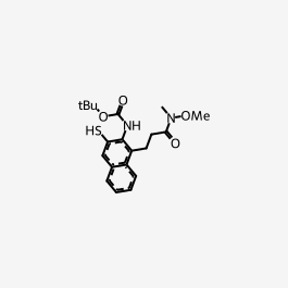 CON(C)C(=O)CCc1c(NC(=O)OC(C)(C)C)c(S)cc2ccccc12